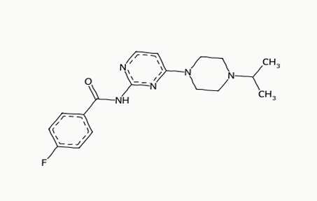 CC(C)N1CCN(c2ccnc(NC(=O)c3ccc(F)cc3)n2)CC1